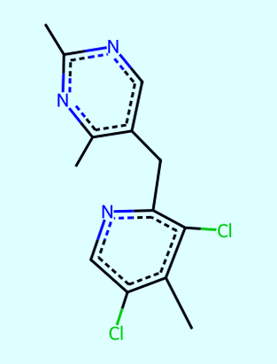 Cc1ncc(Cc2ncc(Cl)c(C)c2Cl)c(C)n1